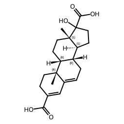 C[C@]12CCC(C(=O)O)=CC1=CC[C@@H]1[C@H]2CC[C@@]2(C)[C@H]1CCC2(O)C(=O)O